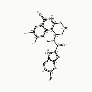 CN(C(=O)c1cc2cc(F)ccc2[nH]1)[C@@H]1CNCc2[nH]c(=O)c3cc(F)c(F)cc3c21